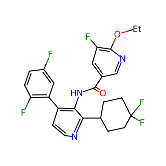 CCOc1ncc(C(=O)Nc2c(-c3cc(F)ccc3F)ccnc2C2CCC(F)(F)CC2)cc1F